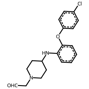 O=CCN1CCC(Nc2ccccc2Oc2ccc(Cl)cc2)CC1